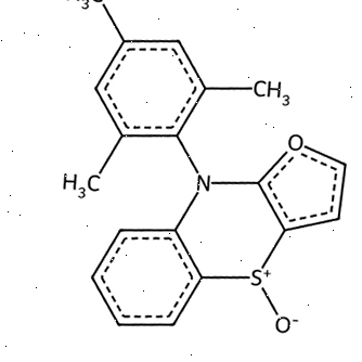 Cc1cc(C)c(N2c3ccccc3[S+]([O-])c3ccoc32)c(C)c1